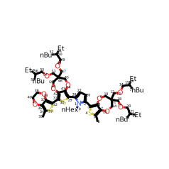 CCCCCCn1c(-c2sc(C)c3c2OCC(COCC(CC)CCCC)(COCC(CC)CCCC)CO3)ccc1-c1sc(-c2sc(C)c3c2OCCO3)c2c1OCC(COCC(CC)CCCC)(COCC(CC)CCCC)CO2